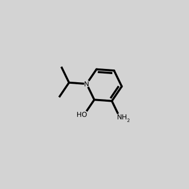 CC(C)N1C=CC=C(N)C1O